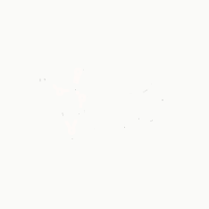 CCC(C)OC(=O)OC1(CCCc2ccccc2)CO1